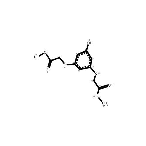 COC(=O)CSc1cc(O)cc(SCC(=O)OC)c1